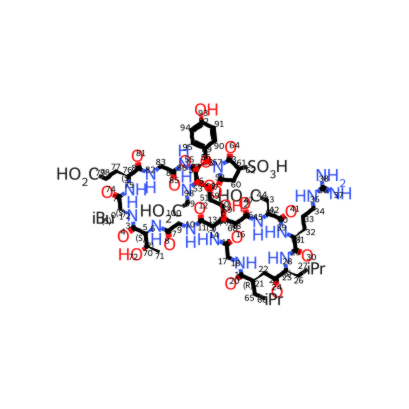 CC[C@H](C)[C@H](NC(=O)[C@@H](NC(=O)CNC(=O)[C@@H](NC(=O)CNC(=O)[C@@H](CC(=O)[C@H](CC(C)C)NC(=O)[C@H](CCCNC(=N)N)NC(=O)[C@H](CC(=O)O)NC(=O)CCCCCCC(=O)ON1C(=O)CC(S(=O)(=O)O)C1=O)CC(C)C)[C@@H](C)O)[C@@H](C)O)C(=O)N[C@@H](CCC(=O)O)C(=O)NCC(=O)N[C@@H](Cc1ccc(O)cc1)C(=O)NCC(=O)O